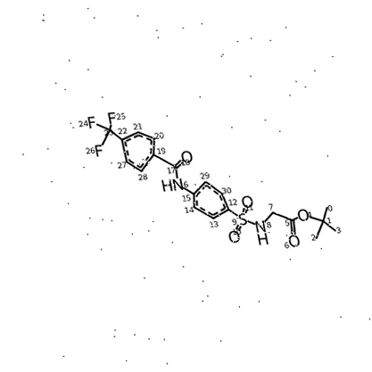 CC(C)(C)OC(=O)CNS(=O)(=O)c1ccc(NC(=O)c2ccc(C(F)(F)F)cc2)cc1